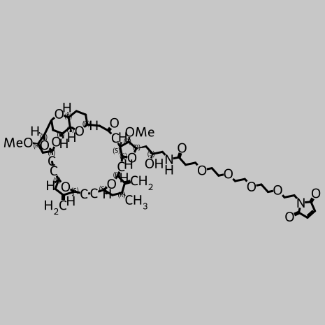 C=C1C[C@@H]2CC[C@]34C[C@@H](OC)[C@H](O3)C3C[C@@H](O4)[C@H]4O[C@H](CC[C@@H]4O3)CC(=O)C[C@@H]3[C@@H](OC)[C@@H](C[C@H](O)CNC(=O)CCOCCOCCOCCOCCN4C(=O)C=CC4=O)O[C@H]3C[C@H]3O[C@@H](CC[C@@H]1O2)C[C@@H](C)C3=C